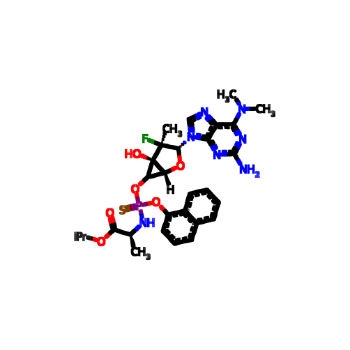 CC(C)OC(=O)[C@H](C)NP(=S)(Oc1cccc2ccccc12)OC1[C@H]2O[C@@H](n3cnc4c(N(C)C)nc(N)nc43)[C@](C)(F)[C@@]12O